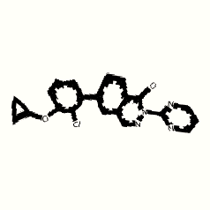 O=c1c2ccc(-c3cccc(OC4CC4)c3Cl)cc2cnn1-c1ncccn1